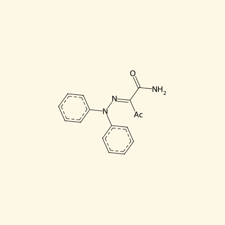 CC(=O)C(=NN(c1ccccc1)c1ccccc1)C(N)=O